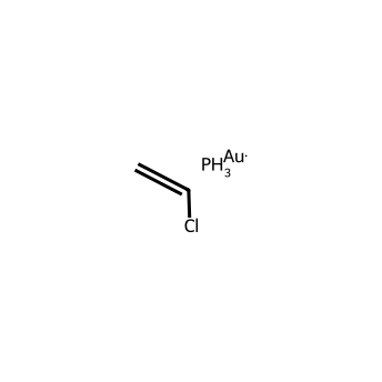 C=CCl.P.[Au]